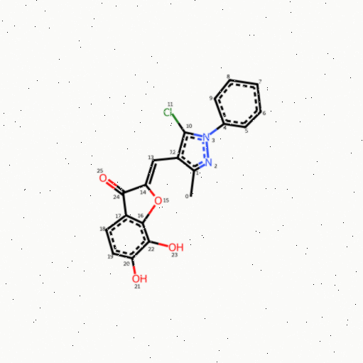 Cc1nn(-c2ccccc2)c(Cl)c1/C=C1\Oc2c(ccc(O)c2O)C1=O